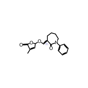 CC1=CC(O/C=C2\CCCCN(c3ccccc3)C2=O)OC1=O